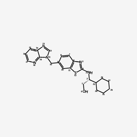 OC[C@H](Nc1nc2ccc(Cn3cnc4cccnc43)cc2s1)C1CCCCC1